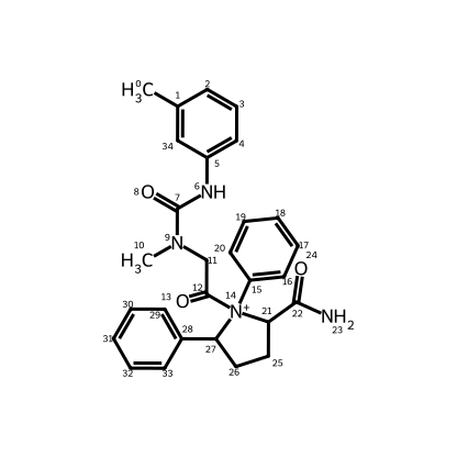 Cc1cccc(NC(=O)N(C)CC(=O)[N+]2(c3ccccc3)C(C(N)=O)CCC2c2ccccc2)c1